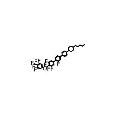 CCCCCC1CCC(c2ccc(-c3ccc(-c4cc(F)c(C(F)(F)Oc5cc(F)c(C(F)(F)F)c(F)c5)c(F)c4)c(F)c3)cc2)CC1